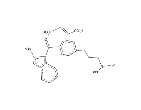 CCCCc1cc2ccccn2c1C(=O)c1ccc(CCCN(CCC)CCC)cc1.O=C(O)/C=C/C(=O)O